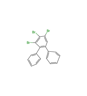 Brc1cc(-c2ccccc2)c(-c2ccccc2)c(Br)c1Br